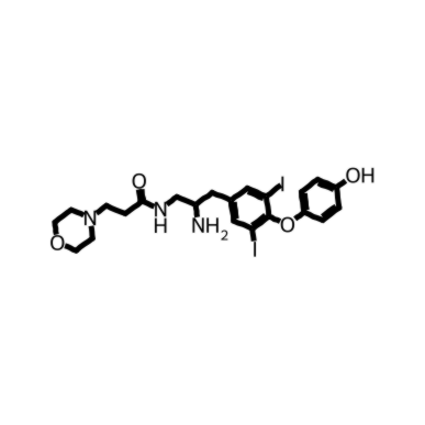 NC(CNC(=O)CCN1CCOCC1)Cc1cc(I)c(Oc2ccc(O)cc2)c(I)c1